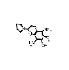 COc1c(N)c2c(c(N)c1OC)SCC(N1CCCC1)O2